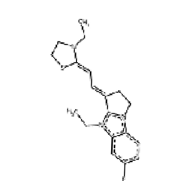 CCN1CCSC1=CC=C1CCn2c1[n+](CC)c1cc(F)ccc12